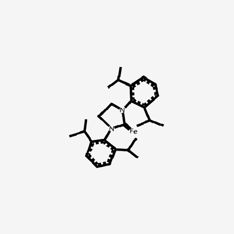 CC(C)c1cccc(C(C)C)c1N1CCN(c2c(C(C)C)cccc2C(C)C)[C]1=[Fe]